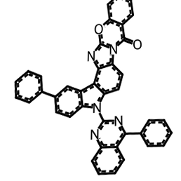 O=c1c2ccccc2oc2nc3c4c5cc(-c6ccccc6)ccc5n(-c5nc(-c6ccccc6)c6ccccc6n5)c4ccc3n12